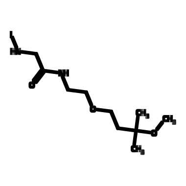 COC(C)(C)CCOCCNC(=O)CNI